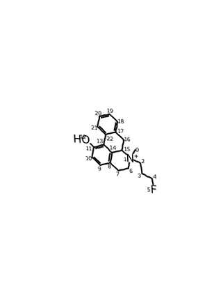 C[N+]1(CCCF)CCc2ccc(O)c3c2C1Cc1ccccc1-3